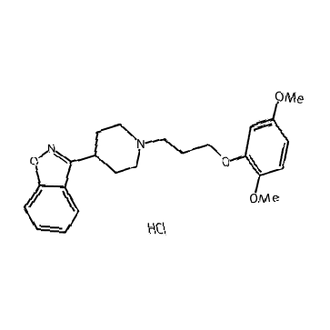 COc1ccc(OC)c(OCCCN2CCC(c3noc4ccccc34)CC2)c1.Cl